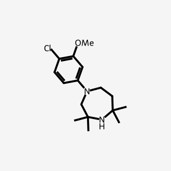 COc1cc(N2CCC(C)(C)NC(C)(C)C2)ccc1Cl